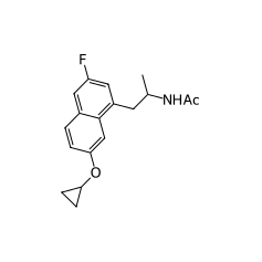 CC(=O)NC(C)Cc1cc(F)cc2ccc(OC3CC3)cc12